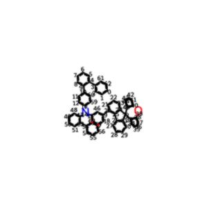 c1ccc(-c2ccccc2-c2ccc(N(c3cccc(-c4cccc5c4-c4ccccc4C54c5ccccc5Oc5ccccc54)c3)c3ccccc3-c3ccccc3)cc2)cc1